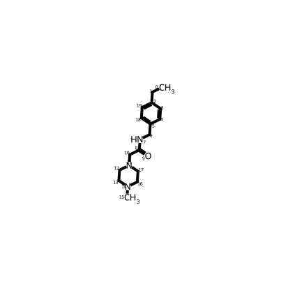 CCc1ccc(CNC(=O)CN2CCN(C)CC2)cc1